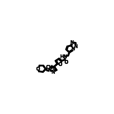 CC1(Cn2cc(-c3ccc(C(=O)NCc4ccc5ncnn5c4)o3)cn2)CCOCC1